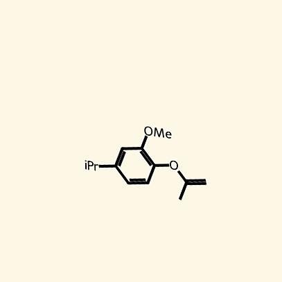 C=C(C)Oc1ccc(C(C)C)cc1OC